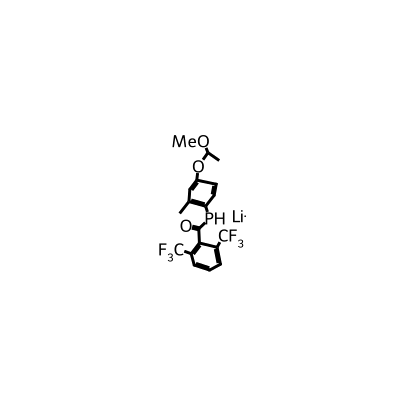 COC(C)Oc1ccc(PC(=O)c2c(C(F)(F)F)cccc2C(F)(F)F)c(C)c1.[Li]